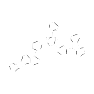 c1ccc(-c2nc(-c3cccc(-c4cccc5c4ccc4c6ccccc6oc54)c3)nc(-c3cccc(-n4c5ccccc5c5ccccc54)c3)n2)cc1